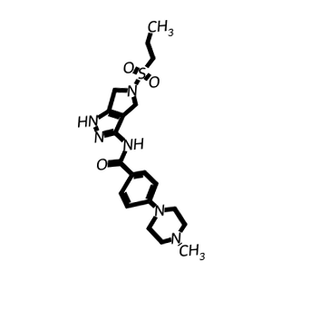 CCCS(=O)(=O)N1Cc2[nH]nc(NC(=O)c3ccc(N4CCN(C)CC4)cc3)c2C1